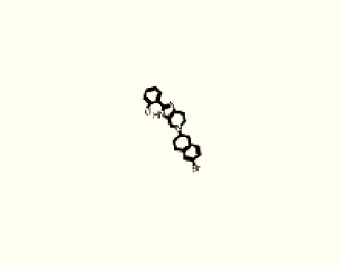 Clc1ccccc1-c1nc2c([nH]1)CN(C1CCc3cc(Br)ccc3C1)CC2